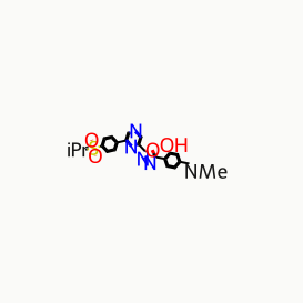 CNCc1ccc(-c2nnc(-c3cncc(-c4ccc(S(=O)(=O)C(C)C)cc4)n3)o2)c(O)c1